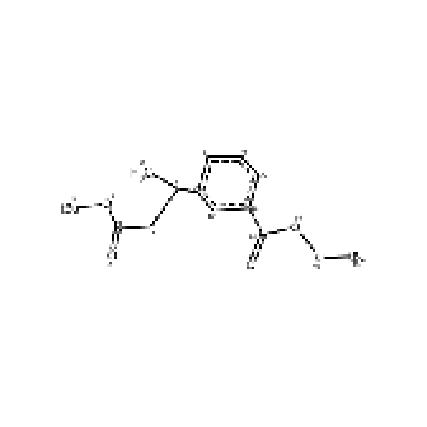 CC(CC(=O)OC(C)(C)C)c1cccc(C(=O)OOC(C)(C)C)c1